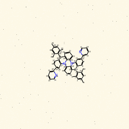 Cc1cc(C)c(B2c3ccc(-c4ccccn4)cc3N3c4cccc5c4N(c4cc(-c6ccccn6)ccc4B5c4c(C)cc(C)cc4C)c4cccc2c43)c(C)c1